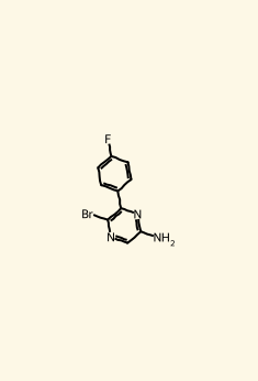 Nc1cnc(Br)c(-c2ccc(F)cc2)n1